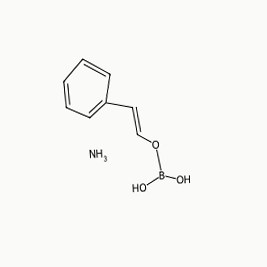 N.OB(O)OC=Cc1ccccc1